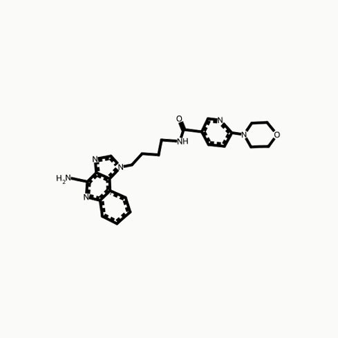 Nc1nc2ccccc2c2c1ncn2CCCCNC(=O)c1ccc(N2CCOCC2)nc1